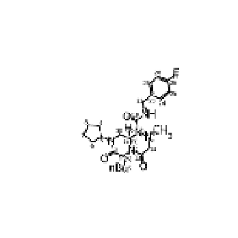 CCCC[C@H]1C(=O)N(C2CCCC2)C[C@H]2N1C(=O)CN(C)N2C(=O)NCc1ccc(F)cc1